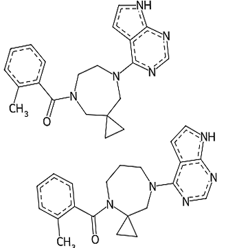 Cc1ccccc1C(=O)N1CCCN(c2ncnc3[nH]ccc23)CC12CC2.Cc1ccccc1C(=O)N1CCN(c2ncnc3[nH]ccc23)CC2(CC2)C1